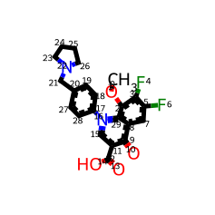 COc1c(F)c(F)cc2c(=O)c(C(=O)O)cn(-c3ccc(CN4CCCC4)cc3)c12